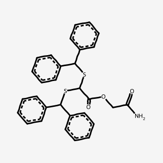 NC(=O)COC(=O)C(SC(c1ccccc1)c1ccccc1)SC(c1ccccc1)c1ccccc1